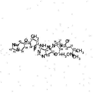 Cc1cc(Nc2ncnc3cc4c(nc23)N2CCN(C(=O)/C=C/C(C)N(C)C)C(CO4)C2)c(F)cc1Oc1ccn2ccnc2c1